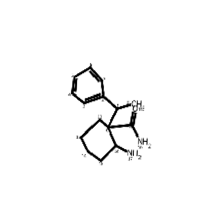 CC(c1ccccc1)C1(C(N)=O)CCCCC1N